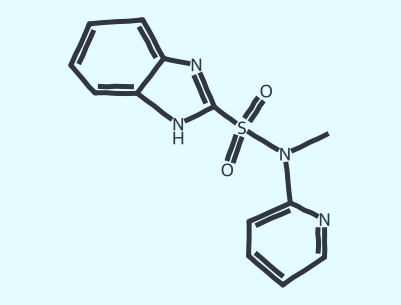 CN(c1ccccn1)S(=O)(=O)c1nc2ccccc2[nH]1